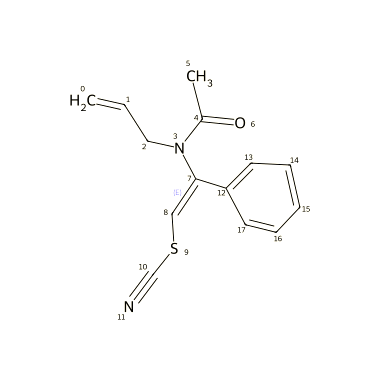 C=CCN(C(C)=O)/C(=C/SC#N)c1ccccc1